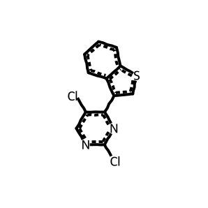 Clc1ncc(Cl)c(-c2csc3ccccc23)n1